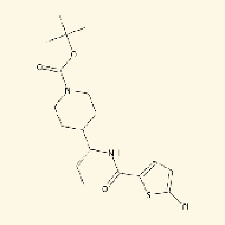 CC[C@@H](NC(=O)c1ccc(Cl)s1)C1CCN(C(=O)OC(C)(C)C)CC1